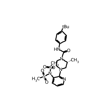 C[C@@H]1CN(c2ncccc2N(S(C)(=O)=O)S(C)(=O)=O)CCN1C(=O)Nc1ccc(C(C)(C)C)cc1